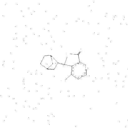 O=C1OC(C2CC3CCC2C3)c2c(Cl)ccnc21